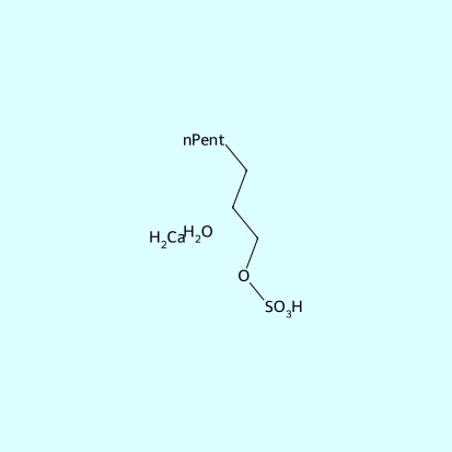 CCCCCCCCOS(=O)(=O)O.O.[CaH2]